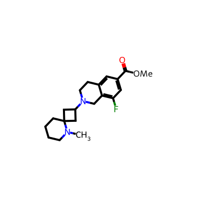 COC(=O)c1cc(F)c2c(c1)CCN(C1CC3(CCCCN3C)C1)C2